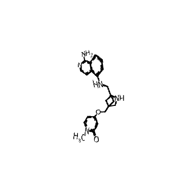 Cn1ccc(OCC23CNC(CNc4cccc5c(N)nccc45)(C2)C3)cc1=O